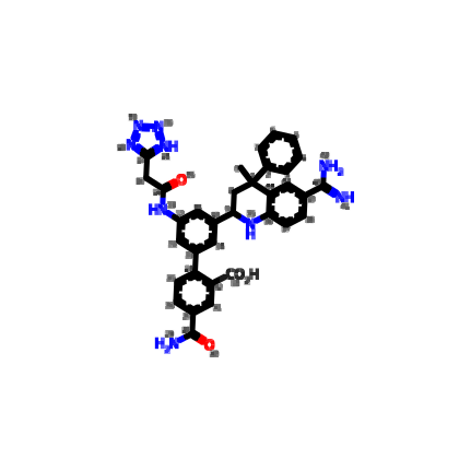 CC1(c2ccccc2)CC(c2cc(NC(=O)Cc3nnn[nH]3)cc(-c3ccc(C(N)=O)cc3C(=O)O)c2)Nc2ccc(C(=N)N)cc21